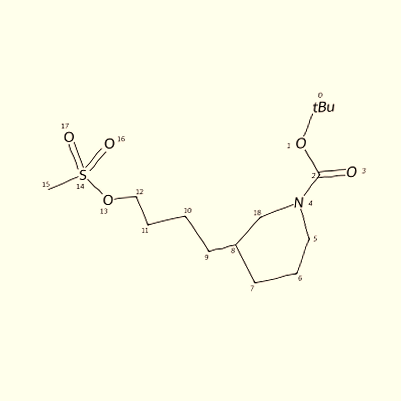 CC(C)(C)OC(=O)N1CCCC(CCCCOS(C)(=O)=O)C1